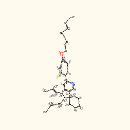 CCCCCCCOc1ccc(-c2ccc(C3(C(CCC)CCCC)CCCCC3)cn2)c(F)c1